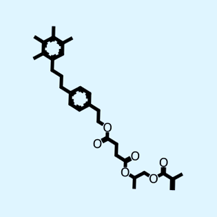 C=C(C)C(=O)OCC(C)OC(=O)CCC(=O)OCCc1ccc(CCCc2cc(C)c(C)c(C)c2C)cc1